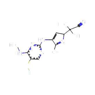 CNc1nc(NC2=CC(C(C)(C)C#N)N=C2C)ncc1SF